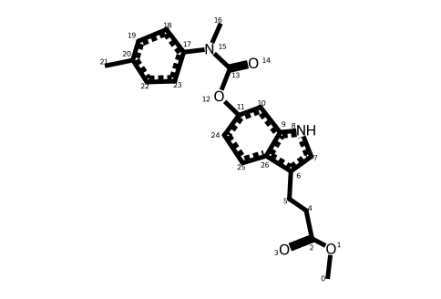 COC(=O)CCc1c[nH]c2cc(OC(=O)N(C)c3ccc(C)cc3)ccc12